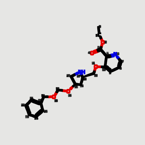 CCOC(=O)c1ncccc1OC[C@H]1C[C@@H](OCOCc2ccccc2)CN1